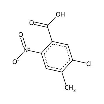 Cc1cc([N+](=O)[O-])c(C(=O)O)cc1Cl